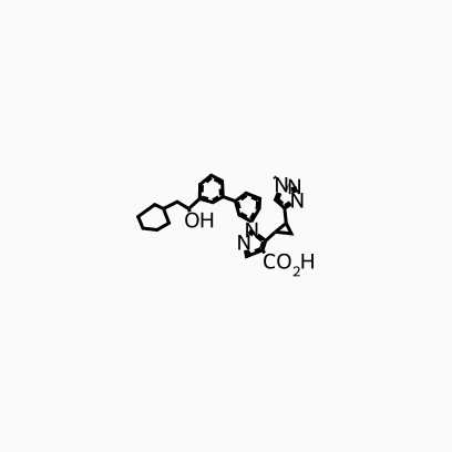 Cn1cc(C2CC2c2c(C(=O)O)cnn2-c2cccc(-c3cccc(C(O)CC4CCCCC4)c3)c2)nn1